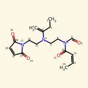 C=C(CC)N(CCN(C=O)C(=O)/C=C\C)CCN1C(=O)C=CC1=O